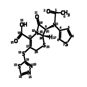 CC(=O)N(c1ccsc1)[C@@H]1C(=O)N2C(C(=O)O)=C(Sc3nncs3)CS[C@@H]12